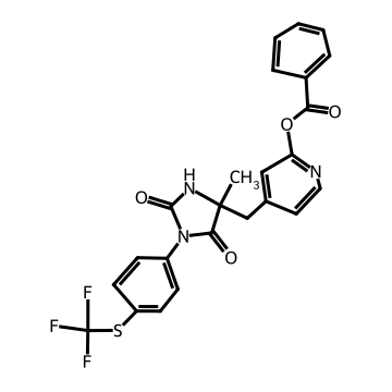 CC1(Cc2ccnc(OC(=O)c3ccccc3)c2)NC(=O)N(c2ccc(SC(F)(F)F)cc2)C1=O